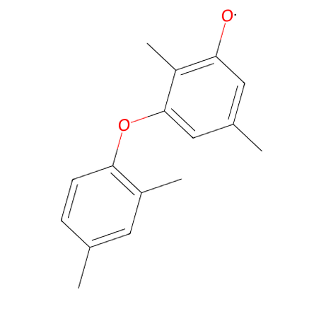 Cc1ccc(Oc2cc(C)cc([O])c2C)c(C)c1